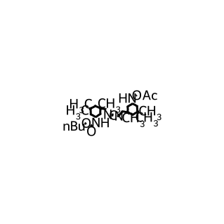 CCCCOC(=O)NC1CC(C)(C)CC(C)(CN=C=NCC2(C)CC(NOC(C)=O)CC(C)(C)C2)C1